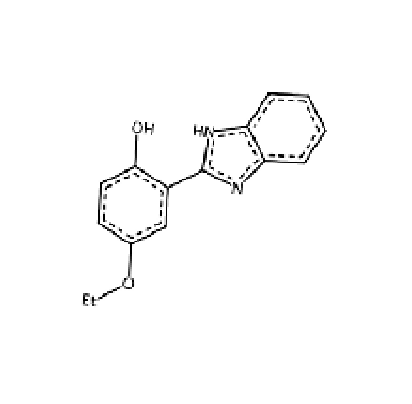 CCOc1ccc(O)c(-c2nc3ccccc3[nH]2)c1